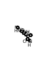 O=C(Cc1cc2cc(-c3cc(Cl)c4[nH]ncc4c3)c(-c3ccccc3)nc2[nH]c1=O)Nc1cccnc1